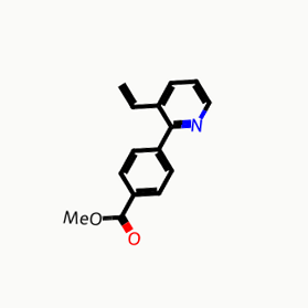 C=Cc1cccnc1-c1ccc(C(=O)OC)cc1